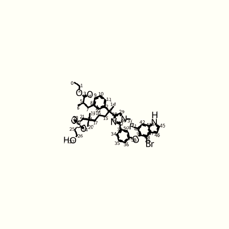 CCOC(=O)C(C)Cc1cccc(C(C)(CCCC(C)(C)CS(=O)(=O)CCO)c2cn(C)c(-c3cccc(Oc4c(F)cc5[nH]ccc5c4Br)c3)n2)c1